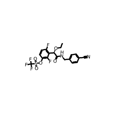 CCO[C@@H](C(=O)NCc1ccc(C#N)cc1)c1c(F)ccc(OS(=O)(=O)C(F)(F)F)c1F